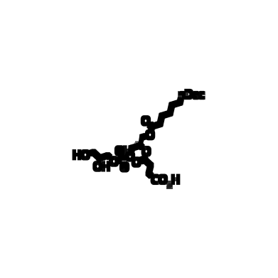 CCCCCCCCCCCCCCCC(=O)OC[C@H](COP(=O)(O)OC[C@@H](O)CO)OC(=O)CCC(=O)O